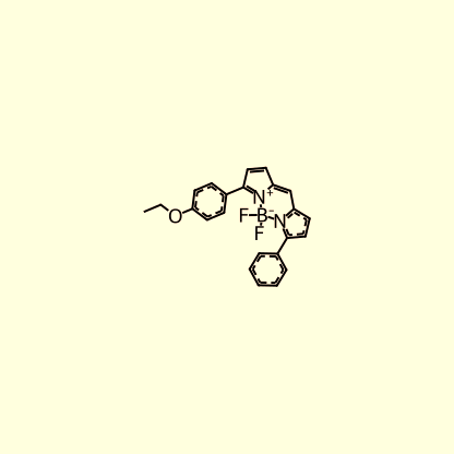 CCOc1ccc(C2=[N+]3C(=Cc4ccc(-c5ccccc5)n4[B-]3(F)F)C=C2)cc1